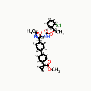 COC(=O)C1(c2ccc(-c3ccc(-c4nc(C)oc4NC(=O)O[C@H](C)c4ccccc4Cl)cc3)cc2)CC1